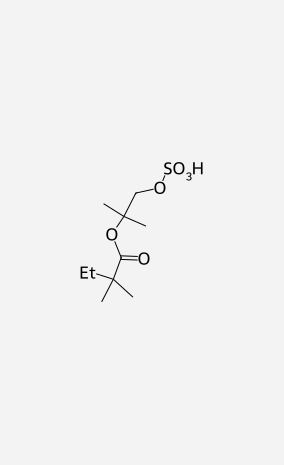 CCC(C)(C)C(=O)OC(C)(C)COS(=O)(=O)O